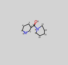 O=C(C1CCC[N]C1)N1CCCCC1